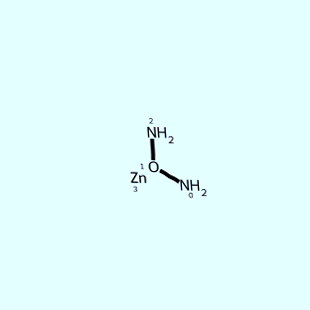 NON.[Zn]